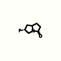 O=C1CCC2C[C@@H](F)CN12